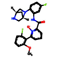 COc1cccc(F)c1-c1cccc(C(=O)Nc2cc(F)ccc2N2C[C@H]3C[C@@H]2CN3)[n+]1[O-]